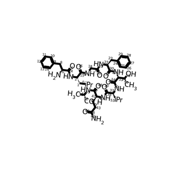 CC(C)C[C@H](NC(=O)[C@@H](N)Cc1ccccc1)C(=O)NCC(=O)N[C@@H](Cc1ccccc1)C(=O)N[C@H](C(=O)N[C@H](C(=O)N[C@@H](CCC(N)=O)C(=O)N[C@@H](C)C(=O)O)C(C)C)[C@@H](C)O